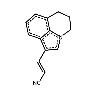 N#CC=Cc1cn2c3c(cccc13)CCC2